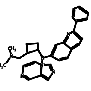 CN(C)CC1CCC1N(c1ccc2ccc(-c3ccccc3)nc2c1)[N+]12C=CN=CC1=CN=C2